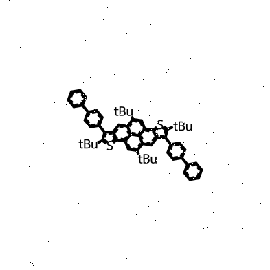 CC(C)(C)c1sc2c(cc3c(C(C)(C)C)cc4c5sc(C(C)(C)C)c(-c6ccc(-c7ccccc7)cc6)c5cc5c(C(C)(C)C)cc2c3c54)c1-c1ccc(-c2ccccc2)cc1